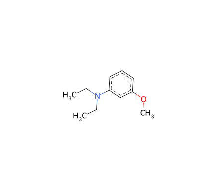 CCN(CC)c1cccc(OC)c1